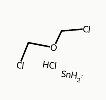 Cl.ClCOCCl.[SnH2]